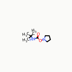 CC(C)(C)NC(=O)ON1CCCC1